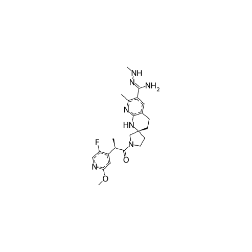 CN/N=C(\N)c1cc2c(nc1C)N[C@]1(CC2)CCN(C(=O)[C@H](C)c2cc(OC)ncc2F)C1